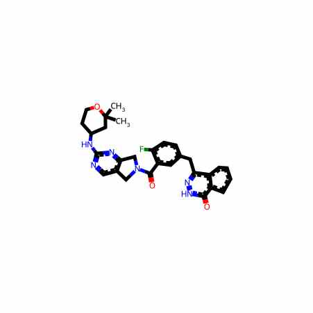 CC1(C)CC(Nc2ncc3c(n2)CN(C(=O)c2cc(Cc4n[nH]c(=O)c5ccccc45)ccc2F)C3)CCO1